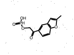 Cc1cc2cc(C(=O)CO[PH](=O)O)ccc2o1